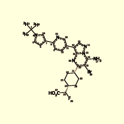 [2H]C([2H])([2H])n1ccc(-c2ccc(-c3cnn4c(N)c(Br)c([C@H]5CC[C@@H](C(F)C(=O)O)CC5)nc34)cn2)c1